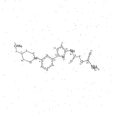 COCC1CCN(c2cccc(-c3csc(NC(=O)COC(N)=O)n3)c2)CC1